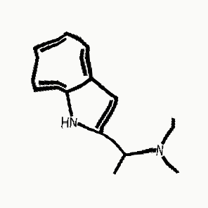 CC(c1cc2ccccc2[nH]1)N(C)C